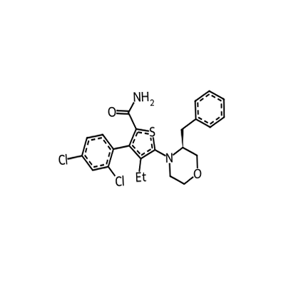 CCc1c(N2CCOC[C@@H]2Cc2ccccc2)sc(C(N)=O)c1-c1ccc(Cl)cc1Cl